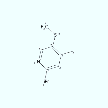 Cc1cc(C(C)C)ncc1SC(F)(F)F